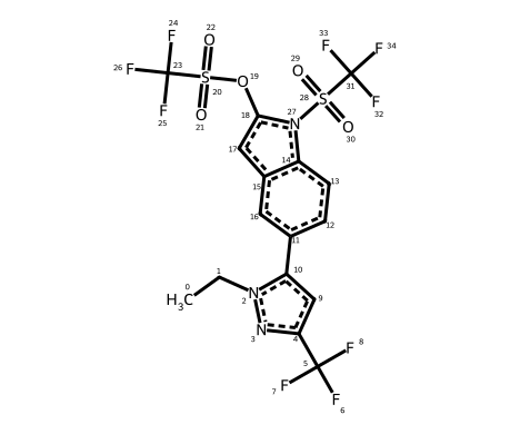 CCn1nc(C(F)(F)F)cc1-c1ccc2c(c1)cc(OS(=O)(=O)C(F)(F)F)n2S(=O)(=O)C(F)(F)F